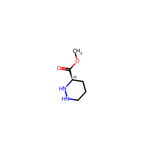 COC(=O)[C@H]1CCCNN1